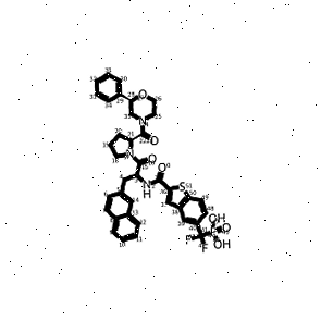 O=C(NC(Cc1ccc2ccccc2c1)C(=O)N1CCC[C@H]1C(=O)N1CCO[C@H](c2ccccc2)C1)c1cc2cc(C(F)(F)P(=O)(O)O)ccc2s1